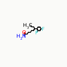 CCCC(=CCCCCC(N)=O)c1ccc(F)cc1F